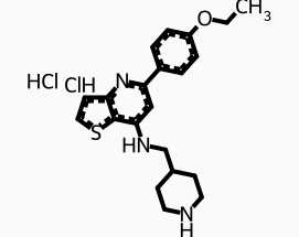 CCOc1ccc(-c2cc(NCC3CCNCC3)c3sccc3n2)cc1.Cl.Cl